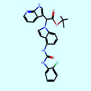 CC(C)(C)OC(=O)C(c1c[nH]c2ncccc12)n1ccc2c(NC(=O)Nc3ccccc3Cl)cccc21